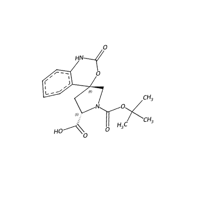 CC(C)(C)OC(=O)N1C[C@]2(C[C@H]1C(=O)O)OC(=O)Nc1ccccc12